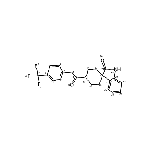 O=C(Cc1ccc(C(F)(F)F)cc1)N1CCC2(CC1)C(=O)Nc1ccccc12